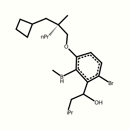 CBc1c(OC[C@@](C)(CCC)CC2CCC2)ccc(Br)c1C(O)CC(C)C